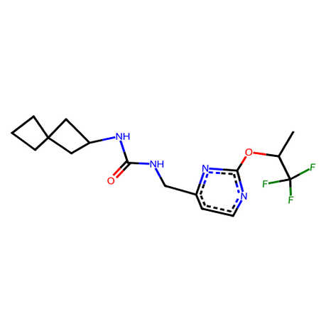 CC(Oc1nccc(CNC(=O)NC2CC3(CCC3)C2)n1)C(F)(F)F